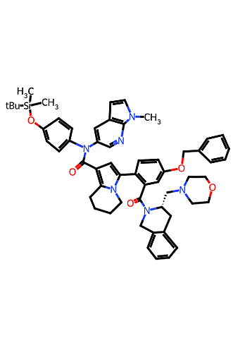 Cn1ccc2cc(N(C(=O)c3cc(-c4ccc(OCc5ccccc5)cc4C(=O)N4Cc5ccccc5C[C@H]4CN4CCOCC4)n4c3CCCC4)c3ccc(O[Si](C)(C)C(C)(C)C)cc3)cnc21